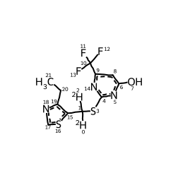 [2H]C([2H])(Sc1nc(O)cc(C(F)(F)F)n1)c1scnc1CC